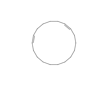 C1=CCCCCCCCCCCC=CCCCC1